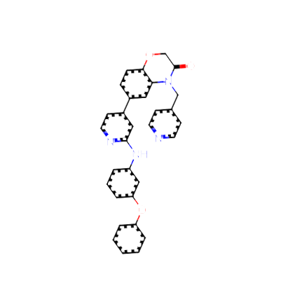 O=C1COc2ccc(-c3ccnc(Nc4cccc(Oc5ccccc5)c4)c3)cc2N1Cc1ccncc1